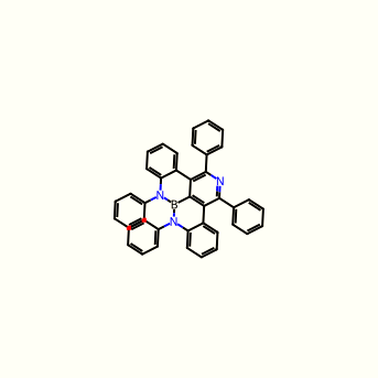 c1ccc(-c2nc(-c3ccccc3)c3c4c2-c2ccccc2N(c2ccccc2)B4N(c2ccccc2)c2ccccc2-3)cc1